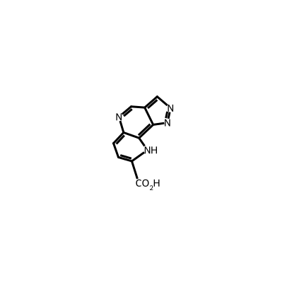 O=C(O)c1ccc2ncc3cnnc3c2[nH]1